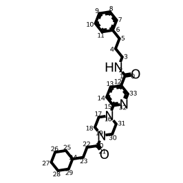 O=C(NCCCc1ccccc1)c1ccc(N2CCN(C(=O)CCC3CCCCC3)CC2)nc1